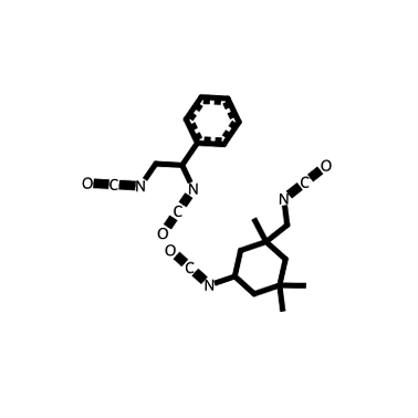 CC1(C)CC(N=C=O)CC(C)(CN=C=O)C1.O=C=NCC(N=C=O)c1ccccc1